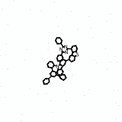 c1ccc(-c2cc(-c3ccccc3)cc(-c3ccccc3-n3c4ccccc4c4cc(-c5ccc6sc7cccc(-c8nc(-c9ccccc9)nc(-c9ccccc9)n8)c7c6c5)ccc43)c2)cc1